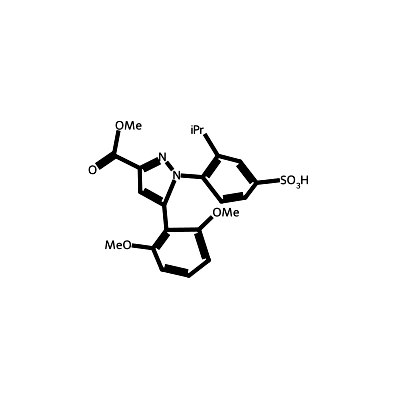 COC(=O)c1cc(-c2c(OC)cccc2OC)n(-c2ccc(S(=O)(=O)O)cc2C(C)C)n1